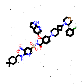 CC1(C)CCC(CNc2ncc(S(=O)(=O)NC(=O)c3ccc(N4CCC5(CC4)CC(N4CCSC[C@@H]4c4ccccc4Br)C5)cc3Oc3cnc4[nH]ccc4c3)cc2[N+](=O)[O-])CC1